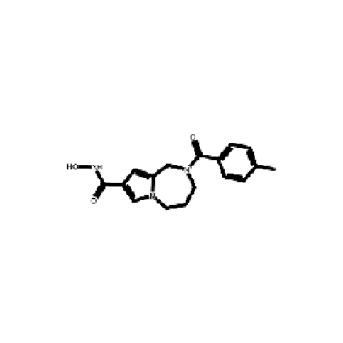 Cc1ccc(C(=O)N2CCCn3cc(C(=O)NO)cc3C2)cc1